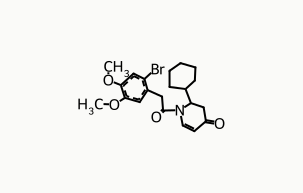 COc1cc(Br)c(CC(=O)N2C=CC(=O)CC2C2CCCCC2)cc1OC